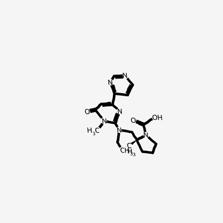 CCN(C[C@@]1(C)CCCN1C(=O)O)c1nc(-c2ccncn2)cc(=O)n1C